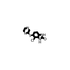 O=c1[nH]c2ccc(Sc3cnccn3)c(Cl)c2[nH]1